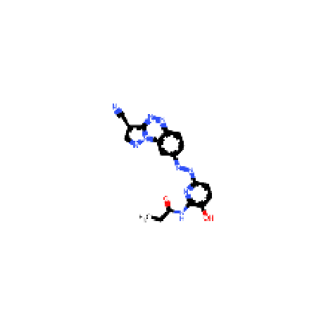 CCC(=O)Nc1nc(/N=N/c2ccc3nnc4c(C#N)cnn4c3c2)ccc1O